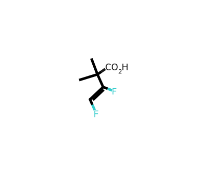 CC(C)(C(=O)O)C(F)=CF